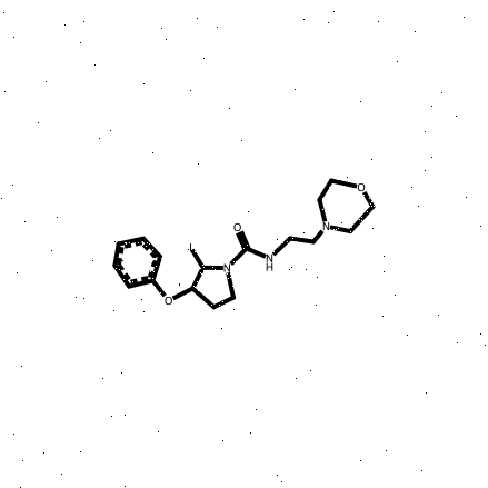 O=C(NCCN1CCOCC1)N1CCC(Oc2ccccc2)C1I